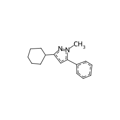 Cn1nc(C2CCCCC2)cc1-c1ccccc1